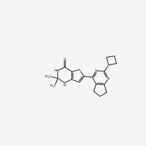 CC1(C)NC(=O)c2sc(-c3nc(N4CCC4)nc4c3CCC4)cc2N1